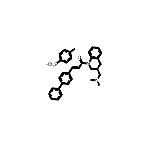 CN(C)CC1Cc2ccccc2N(C(=O)/C=C/c2ccc(-c3ccccc3)cc2)C1.Cc1ccc(S(=O)(=O)O)cc1